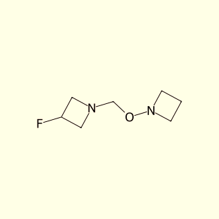 FC1CN(CON2CCC2)C1